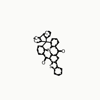 O=c1c2cccc3c2n2c4c(cccc4c(=O)c4c5sc6ccccc6c5cc1c42)C31c2ccccc2-c2ccccc21